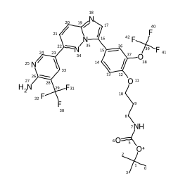 CC(C)(C)OC(=O)NCCCOc1ccc(-c2cnc3ccc(-c4cnc(N)c(C(F)(F)F)c4)nn23)cc1OC(F)(F)F